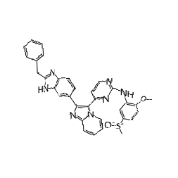 COc1ccc([S+](C)[O-])cc1Nc1nccc(-c2c(-c3ccc4nc(Cc5ccccc5)[nH]c4c3)nc3ccccn23)n1